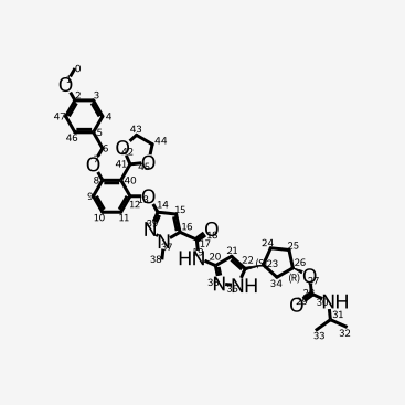 COc1ccc(COc2cccc(Oc3cc(C(=O)Nc4cc([C@H]5CC[C@@H](OC(=O)NC(C)C)C5)[nH]n4)n(C)n3)c2C2OCCO2)cc1